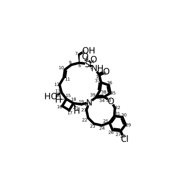 O=C1NS(=O)(=O)[C@H](CO)C/C=C/C[C@H](O)[C@@H]2CC[C@H]2CN2CCCCc3cc(Cl)ccc3COc3ccc1cc32